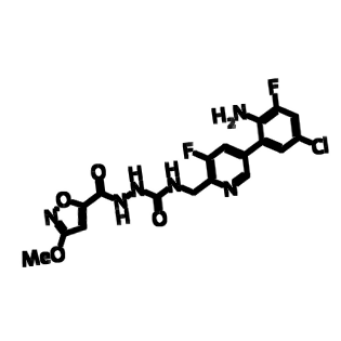 COc1cc(C(=O)NNC(=O)NCc2ncc(-c3cc(Cl)cc(F)c3N)cc2F)on1